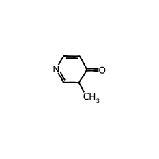 CC1C=NC=CC1=O